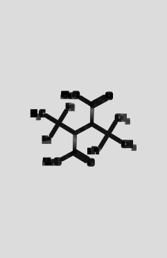 CCCC(C)(C)C(C(=O)OC)C(C(=O)OC)C(C)(CC)CC